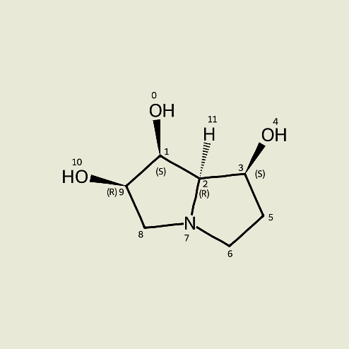 O[C@H]1[C@H]2[C@@H](O)CCN2C[C@H]1O